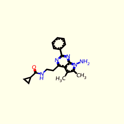 Cc1c(C)n(N)c2nc(-c3ccccc3)nc(CCNC(=O)C3CC3)c12